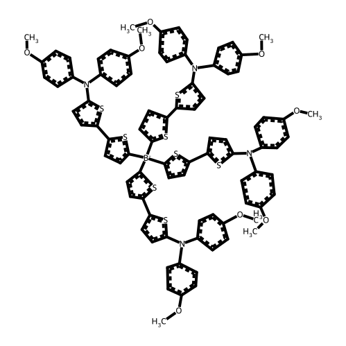 COc1ccc(N(c2ccc(OC)cc2)c2ccc(-c3ccc([B-](c4ccc(-c5ccc(N(c6ccc(OC)cc6)c6ccc(OC)cc6)s5)s4)(c4ccc(-c5ccc(N(c6ccc(OC)cc6)c6ccc(OC)cc6)s5)s4)c4ccc(-c5ccc(N(c6ccc(OC)cc6)c6ccc(OC)cc6)s5)s4)s3)s2)cc1